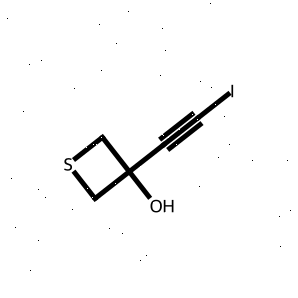 OC1(C#CI)CSC1